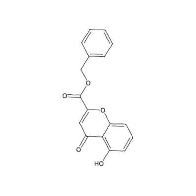 O=C(OCc1ccccc1)c1cc(=O)c2c(O)cccc2o1